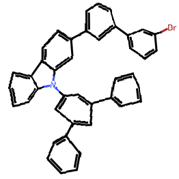 Brc1cccc(-c2cccc(-c3ccc4c5ccccc5n(-c5cc(-c6ccccc6)cc(-c6ccccc6)c5)c4c3)c2)c1